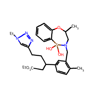 CCOC(=O)CC(CCc1cn(CC)nn1)c1ccc(C)c(CN2CC(C)Oc3ccccc3S2(O)O)c1